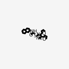 O=C(CSc1nnc(-c2ccco2)c(-c2ccco2)n1)Nc1ccc2ccccc2c1